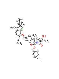 C/C=C/c1ccc(C(OC)=C2C3CC4CC(C3)CC2C4)c(Cl)c1OCc1ccc(C2=C(C(=O)OCc3ccc([N+](=O)[O-])cc3)N3C(=O)[C@H]([C@@H](C)O)[C@H]3[C@H]2C)cc1